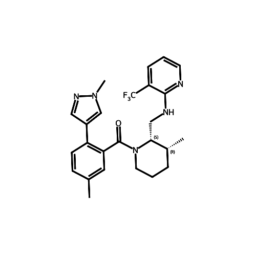 Cc1ccc(-c2cnn(C)c2)c(C(=O)N2CCC[C@@H](C)[C@H]2CNc2ncccc2C(F)(F)F)c1